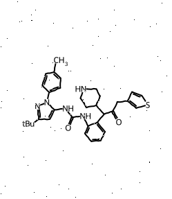 Cc1ccc(-n2nc(C(C)(C)C)cc2NC(=O)Nc2ccccc2C(C(=O)Cc2ccsc2)C2CCNCC2)cc1